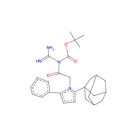 CC(C)(C)OC(=O)N(C(=N)N)C(=O)Cn1c(-c2ccccc2)ccc1C12CC3CC(CC(C3)C1)C2